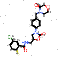 O=C(NCC1CN(c2ccc(CN3CCOCC3=O)cc2)C(=O)O1)C1=CC(Cl)=CCC1=S